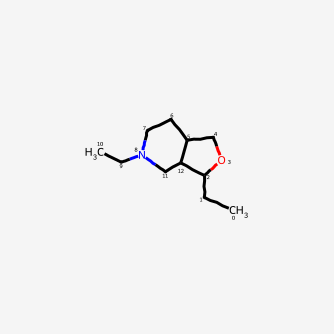 CCC1OCC2CCN(CC)CC21